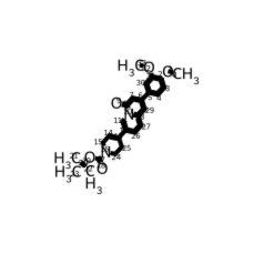 COc1ccc(-c2cc(=O)n3cc(C4=CCN(C(=O)OC(C)(C)C)CC4)ccc3c2)cc1OC